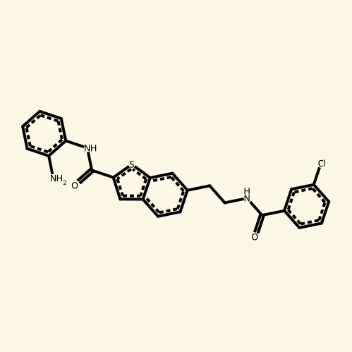 Nc1ccccc1NC(=O)c1cc2ccc(CCNC(=O)c3cccc(Cl)c3)cc2s1